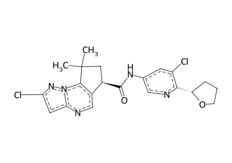 CC1(C)C[C@@H](C(=O)Nc2cnc([C@@H]3CCCO3)c(Cl)c2)c2cnc3cc(Cl)nn3c21